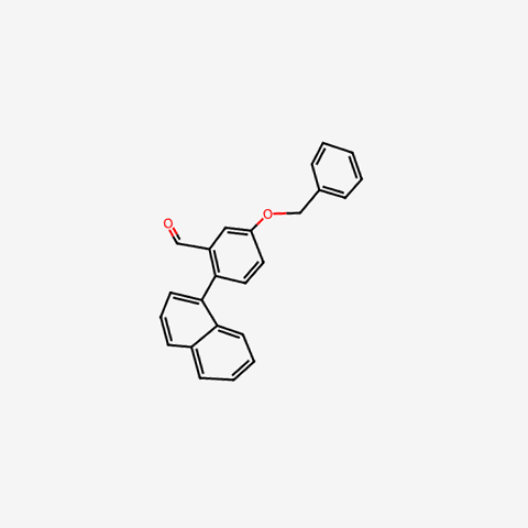 O=Cc1cc(OCc2ccccc2)ccc1-c1cccc2ccccc12